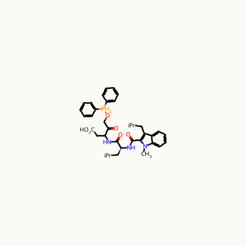 CC(C)Cc1c(C(=O)N[C@@H](CC(C)C)C(=O)NC(CC(=O)O)C(=O)CO[PH2](c2ccccc2)c2ccccc2)n(C)c2ccccc12